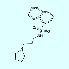 O=S(=O)(NCCCN1CCCC1)c1cccc2ccccc12